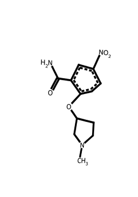 CN1CCC(Oc2ccc([N+](=O)[O-])cc2C(N)=O)C1